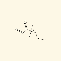 [CH2]CC[N+](C)(C)C(=O)C=C